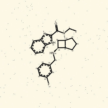 CCN(C(=O)c1nc2ccccc2[nH]1)[C@]12CCCC1[C@@H](NCc1cccc(F)c1)C2